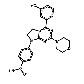 N[S+]([O-])c1ccc(N2CCc3c(-c4cccc(O)c4)nc(N4CCOCC4)nc32)cc1